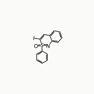 O=S1(c2ccccc2)=Nc2ccccc2C=C1I